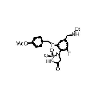 CCNCc1cc(F)c(N2CC(=O)NS2(=O)=O)c(OCc2ccc(OC)cc2)c1